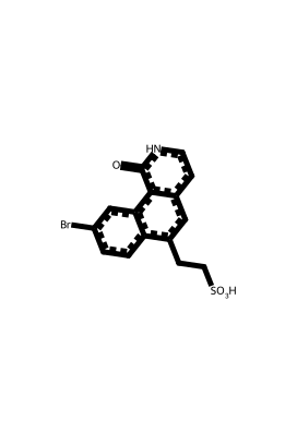 O=c1[nH]ccc2cc(CCS(=O)(=O)O)c3ccc(Br)cc3c12